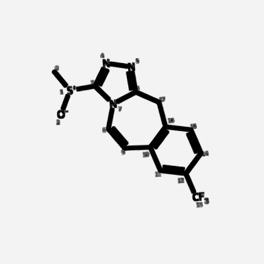 C[S+]([O-])c1nnc2n1C=Cc1cc(C(F)(F)F)ccc1C2